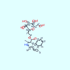 CC1=C(C(=O)OCC[C@@H]2O[C@H](CO)[C@@H](O)[C@H](O)[C@H]2O)C(c2ccccc2)C([N+](=O)[O-])=C(C)N1